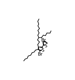 CCCCCCCCc1c(Br)sc(-c2cccs2)c1CCCC(CCCCCCCC)C(Br)CCCCC